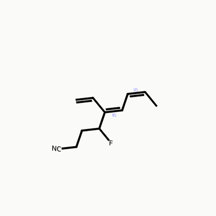 C=C/C(=C\C=C/C)C(F)CCC#N